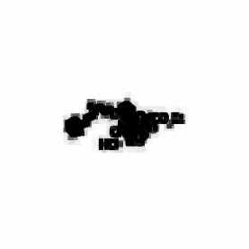 CCOC(=O)CC1OC(c2cccc(OCCCN(C)CCCc3ccccc3)c2OC)c2cc(Cl)ccc2N(CC(C)(C)C)C1=O.Cl